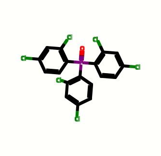 O=P(c1ccc(Cl)cc1Cl)(c1ccc(Cl)cc1Cl)c1ccc(Cl)cc1Cl